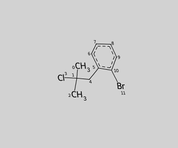 CC(C)(Cl)Cc1ccccc1Br